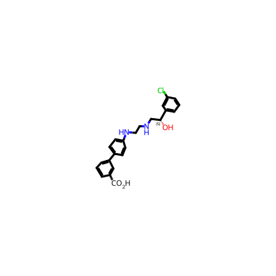 O=C(O)c1cccc(-c2ccc(NCCNC[C@@H](O)c3cccc(Cl)c3)cc2)c1